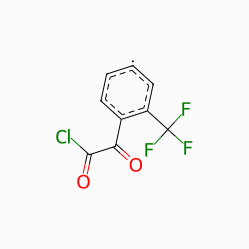 O=C(Cl)C(=O)c1cc[c]cc1C(F)(F)F